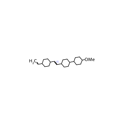 C=CC1CCC(/C=C/C2CCC(C3CCC(OC)CC3)CC2)CC1